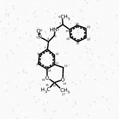 CC(NCC(N=O)c1ccc2c(c1)COC(C)(C)O2)c1ccccc1